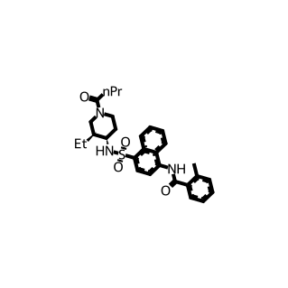 CCCC(=O)N1CC[C@H](NS(=O)(=O)c2ccc(NC(=O)c3ccccc3C)c3ccccc23)[C@@H](CC)C1